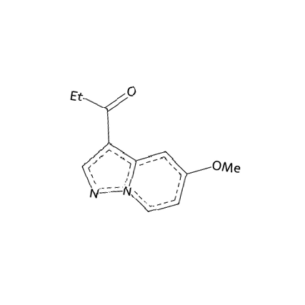 CCC(=O)c1cnn2ccc(OC)cc12